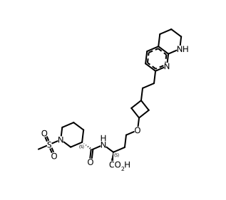 CS(=O)(=O)N1CCC[C@H](C(=O)N[C@@H](CCOC2CC(CCc3ccc4c(n3)NCCC4)C2)C(=O)O)C1